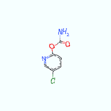 NC(=O)Oc1ccc(Cl)cn1